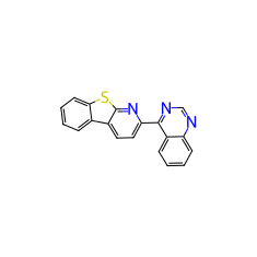 c1ccc2c(-c3ccc4c(n3)sc3ccccc34)ncnc2c1